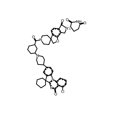 O=C1CC[C@H](N2Cc3c(ccc4c3OCC43CCN(C(=O)C4CCCC(N5CCC(c6ccc7c(c6)C6(CCCCC6)c6nc(=O)c8c(Cl)cccc8n6-7)CC5)C4)CC3)C2=O)C(=O)N1